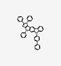 c1ccc(-c2ccc(-n3c4ccccc4c4cc5c6c(nc(-c7ccccc7)n6-c6ccccc6)n(-c6ccccc6)c5cc43)cc2)cc1